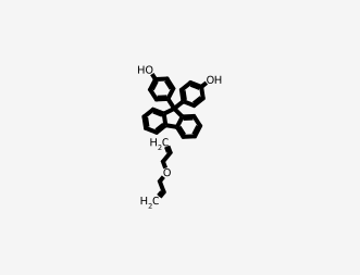 C=CCOCC=C.Oc1ccc(C2(c3ccc(O)cc3)c3ccccc3-c3ccccc32)cc1